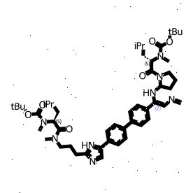 C=N/C=C(\NC1CCCN1C(=O)[C@H](CC(C)C)N(C)C(=O)OC(C)(C)C)c1ccc(-c2ccc(-c3cnc(CCCN(C)C(=O)[C@H](CC(C)C)N(C)C(=O)OC(C)(C)C)[nH]3)cc2)cc1